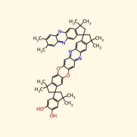 Cc1cc2nc3cc4c(cc3nc2cc1C)C1(CC4(C)C)CC(C)(C)c2cc3nc4cc5c(cc4nc3cc21)Oc1cc2c(cc1O5)C1(CC(C)(C)c3cc(O)c(O)cc31)CC2(C)C